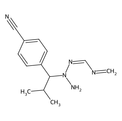 C=N/C=N\N(N)C(c1ccc(C#N)cc1)C(C)C